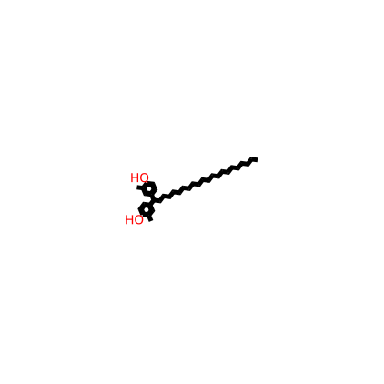 CCCCCCCCCCCCCCCCCCCCCC(c1ccc(O)c(C)c1)c1ccc(O)c(C)c1